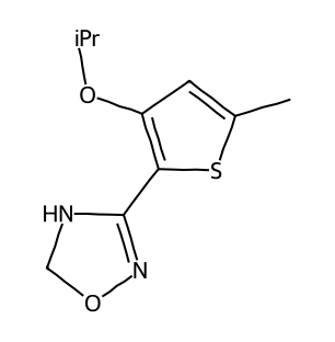 Cc1cc(OC(C)C)c(C2=NOCN2)s1